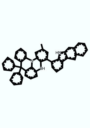 Cc1cc(-c2cccc3c2[nH]c2cc4ccccc4cc23)c2c(c1)N1c3ccccc3C(c3ccccc3)(c3ccccc3)c3cccc(c31)B2